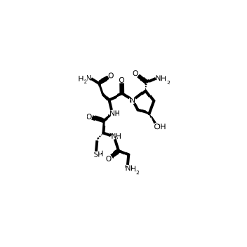 NCC(=O)N[C@H](CS)C(=O)NC(CC(N)=O)C(=O)N1C[C@H](O)C[C@H]1C(N)=O